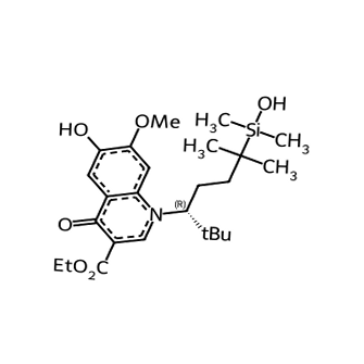 CCOC(=O)c1cn([C@H](CCC(C)(C)[Si](C)(C)O)C(C)(C)C)c2cc(OC)c(O)cc2c1=O